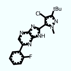 Cn1nc(C(C)(C)C)c(Cl)c1-c1nc2ncc(-c3ccccc3F)nc2[nH]1